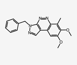 COc1cc2c(nnc3c2cnn3Cc2ccccc2)c(C)c1OC